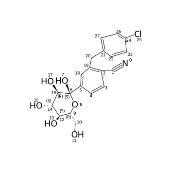 N#Cc1ccc([C@]2(O)O[C@H](CO)[C@@H](O)[C@H](O)[C@H]2O)cc1Cc1ccc(Cl)cc1